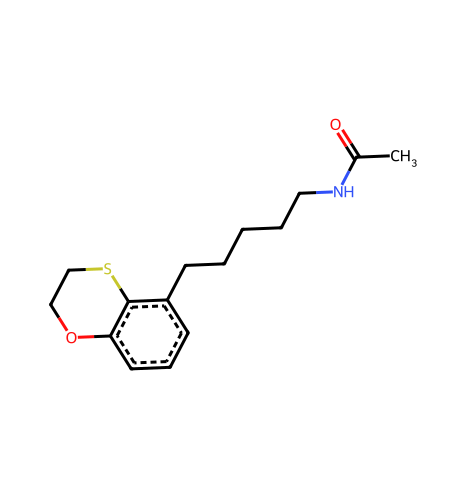 CC(=O)NCCCCCc1cccc2c1SCCO2